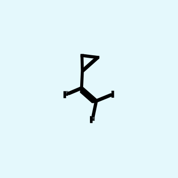 F/C(I)=C(\F)C1CC1